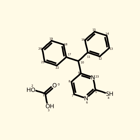 O=C(O)O.Sc1nccc(C(c2ccccc2)c2ccccc2)n1